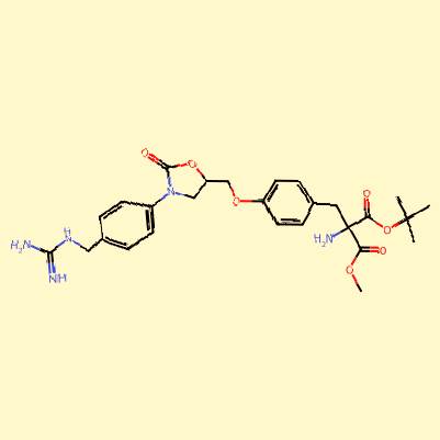 COC(=O)C(N)(Cc1ccc(OCC2CN(c3ccc(CNC(=N)N)cc3)C(=O)O2)cc1)C(=O)OC(C)(C)C